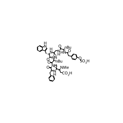 CCCC[C@H](NC(=O)Cc1ccc(OS(=O)(=O)O)cc1)C(=O)NCC(=O)N[C@@H](Cc1c[nH]c2ccccc12)C(=O)N[C@@H](CCCC)C(=O)NC(=O)[C@H](Cc1ccccc1)NC(=O)[C@H](CC(=O)O)NC